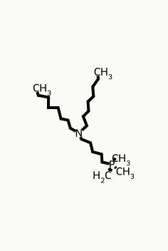 C=P(C)(C)CCCCCN(CCCCCCCC)CCCCCCCC